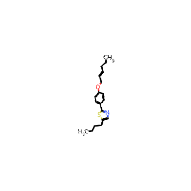 CCCC=CCOc1ccc(-c2ncc(CCCC)s2)cc1